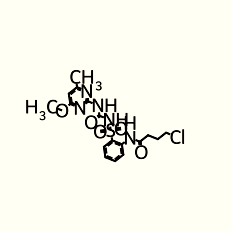 COc1cc(C)nc(NC(=O)NS(=O)(=O)c2ccccc2NC(=O)CCCCl)n1